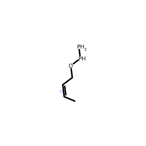 C/C=C\COPP